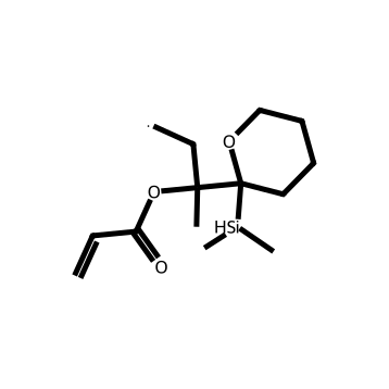 [CH2]CC(C)(OC(=O)C=C)C1([SiH](C)C)CCCCO1